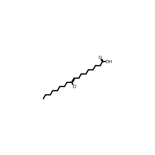 CCCCCCCCC(Cl)=CCCCCCCCC(=O)O